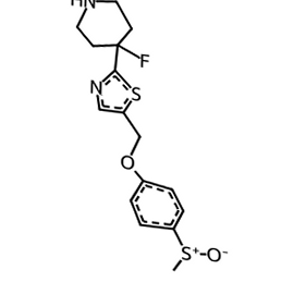 C[S+]([O-])c1ccc(OCc2cnc(C3(F)CCNCC3)s2)cc1